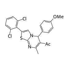 COc1ccc(C2C(C(C)=O)=C(C)N=C3SC(c4c(Cl)cccc4Cl)=CN32)cc1